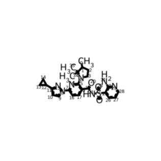 CC1CCN(c2nc(-n3ccc(C4CC4)n3)ccc2C(=O)NS(=O)(=O)c2cccnc2N)C1(C)C